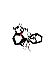 Cc1cccc(Cl)c1S(=O)(=O)N1C2CCC1CN(C(=O)c1cnn[nH]1)C2